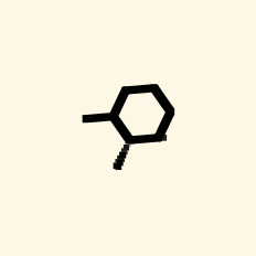 CC1CCC[CH][C@@H]1C